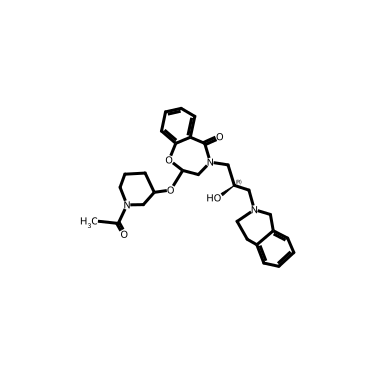 CC(=O)N1CCCC(OC2CN(C[C@H](O)CN3CCc4ccccc4C3)C(=O)c3ccccc3O2)C1